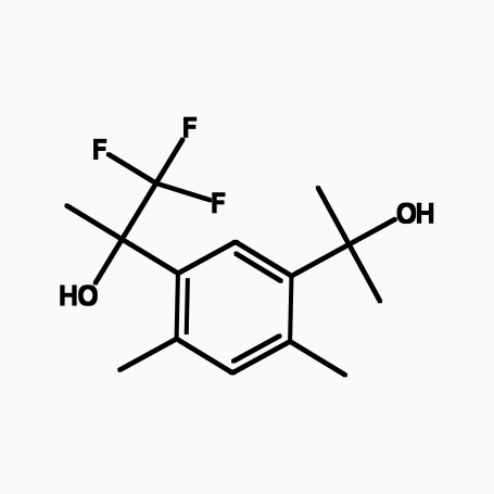 Cc1cc(C)c(C(C)(O)C(F)(F)F)cc1C(C)(C)O